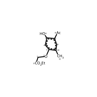 CCOC(=O)COc1cc(O)c(C(C)=O)cc1C